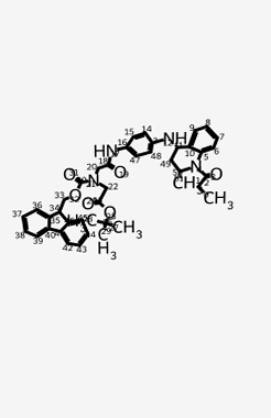 CCC(=O)N1c2ccccc2[C@H](Nc2ccc(NC(=O)CN(CC(=O)OC(C)(C)C)C(=O)OCC3c4ccccc4-c4ccccc43)cc2)C[C@@H]1C